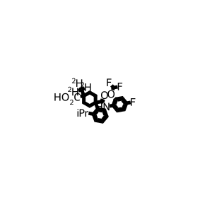 [2H]C([2H])([2H])C1(C(=O)O)CCC(C(=O)Nc2ccc(F)cc2OC(F)F)(c2ccccc2C(C)C)CC1